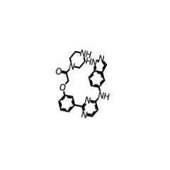 O=C(COc1cccc(-c2nccc(Nc3ccc4[nH]ncc4c3)n2)c1)N1CCNCC1